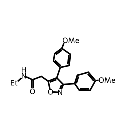 CCNC(=O)Cc1onc(-c2ccc(OC)cc2)c1-c1ccc(OC)cc1